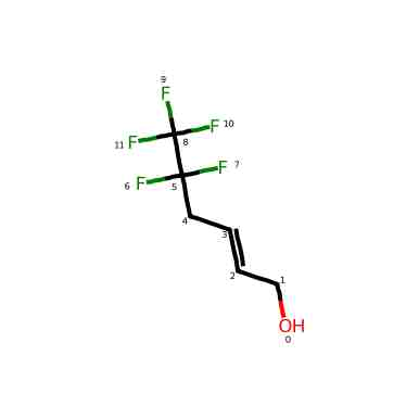 OCC=CCC(F)(F)C(F)(F)F